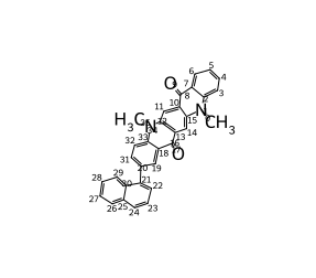 Cn1c2ccccc2c(=O)c2cc3c(cc21)c(=O)c1cc(-c2cccc4ccccc24)ccc1n3C